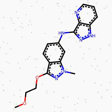 COCCOc1nn(C)c2cc(Nc3n[nH]c4cccnc34)ccc12